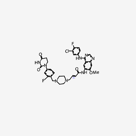 COc1cc2ncnc(Nc3ccc(F)c(Cl)c3)c2cc1NC(=O)/C=C/CN1CCN(Cc2ccc(N3CCC(=O)NC3=O)cc2F)CC1